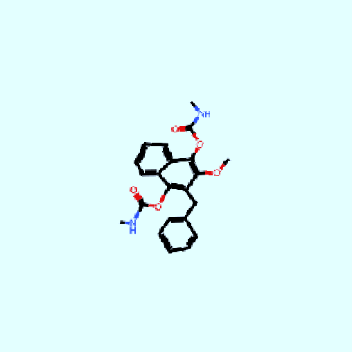 CNC(=O)Oc1c(Cc2ccccc2)c(OC)c(OC(=O)NC)c2ccccc12